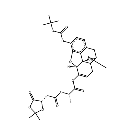 C[C@H](OC(=O)C[C@@H]1OC(C)(C)OC1=O)C(=O)OC1=CC[C@]2(O)C3Cc4ccc(OC(=O)OC(C)(C)C)c5c4[C@@]2(CCN3C)[C@H]1O5